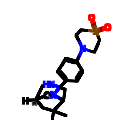 CC1(C)C[C@@H]2CNCC1N(c1ccc(N3CCS(=O)(=O)CC3)cc1)C2